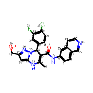 CC1=C(C(=O)Nc2ccc3cnccc3c2)C(c2ccc(Cl)c(F)c2)n2nc(CO)cc2N1